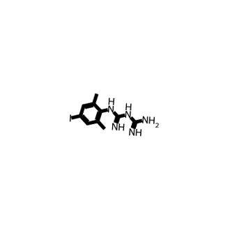 Cc1cc(I)cc(C)c1NC(=N)NC(=N)N